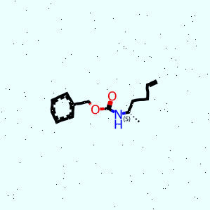 C=CCC[C@H](C)NC(=O)OCc1ccccc1